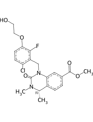 COC(=O)c1ccc2c(c1)N(Cc1c(Cl)ccc(OCCO)c1F)C(=O)N(C)[C@H]2C